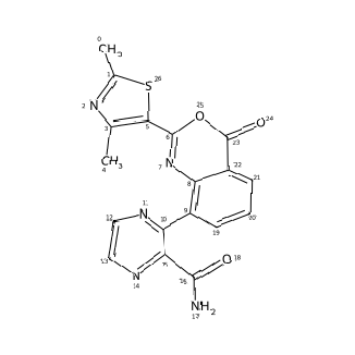 Cc1nc(C)c(-c2nc3c(-c4nccnc4C(N)=O)cccc3c(=O)o2)s1